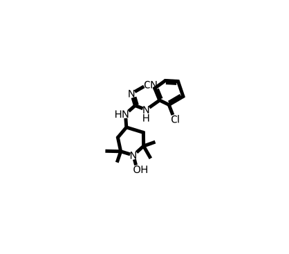 CC1(C)CC(NC(=NC#N)Nc2ccccc2Cl)CC(C)(C)N1O